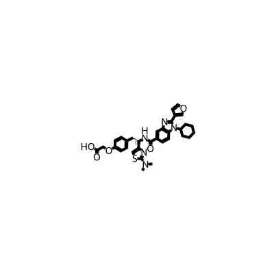 CN(C)c1nc([C@H](Cc2ccc(OCC(=O)O)cc2)NC(=O)c2ccc3c(c2)nc(-c2ccoc2)n3C2CCCCC2)cs1